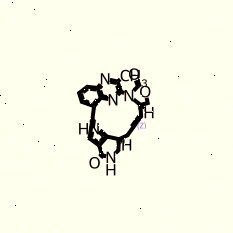 Cc1nc2cccc3c2nc1N1C(=O)OC[C@@H]1/C=C\C[C@H]1CNC(=O)c2cc-3[nH]c21